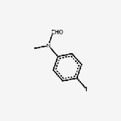 CN(C=O)c1ccc(I)cc1